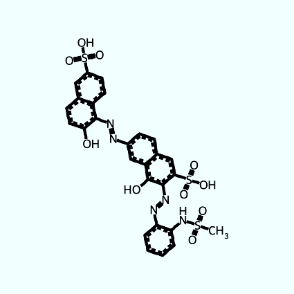 CS(=O)(=O)Nc1ccccc1N=Nc1c(S(=O)(=O)O)cc2ccc(N=Nc3c(O)ccc4cc(S(=O)(=O)O)ccc34)cc2c1O